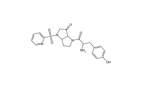 NC(Cc1ccc(O)cc1)C(=O)N1CCC2C1C(=O)CN2S(=O)(=O)c1ccccn1